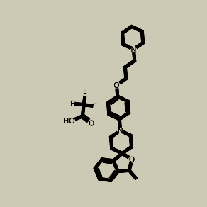 CC1OC2(CCN(c3ccc(OCCCN4CCCCC4)cc3)CC2)c2ccccc21.O=C(O)C(F)(F)F